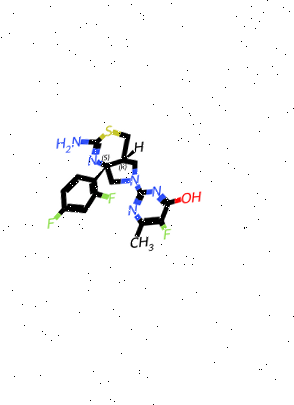 Cc1nc(N2C[C@H]3CSC(N)=N[C@@]3(c3ccc(F)cc3F)C2)nc(O)c1F